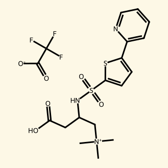 C[N+](C)(C)CC(CC(=O)O)NS(=O)(=O)c1ccc(-c2ccccn2)s1.O=C([O-])C(F)(F)F